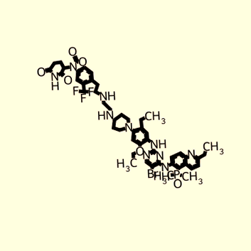 CCOc1cc(N2CCC(NCCNCCc3cc4oc(=O)n(C5CCC(=O)NC5=O)c4cc3C(F)(F)F)CC2)c(CC)cc1Nc1ncc(Br)c(Nc2ccc3nc(CC)ccc3c2P(C)(C)=O)n1